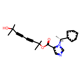 C[C@H](c1ccccc1)n1cncc1C(=O)OC(C)(C)C#CC#CC(C)(C)O